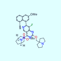 C#Cc1cccc2cc(OC)cc(-c3ncc4c(N5C[C@H]6CC[C@@H](C5)N6C(=O)OC(C)(C)C)nc(OCC56CCCN5CCC6)nc4c3F)c12